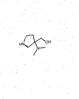 CN(C)C1(CO)CCNC1